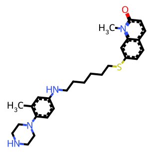 Cc1cc(NCCCCCCSc2ccc3ccc(=O)n(C)c3c2)ccc1N1CCNCC1